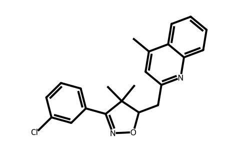 Cc1cc(CC2ON=C(c3cccc(Cl)c3)C2(C)C)nc2ccccc12